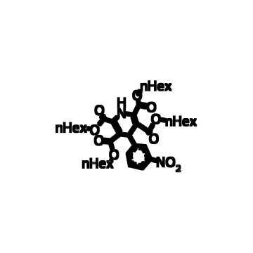 CCCCCCOC(=O)C1=C(C(=O)OCCCCCC)C(c2cccc([N+](=O)[O-])c2)C(C(=O)OCCCCCC)=C(C(=O)OCCCCCC)N1